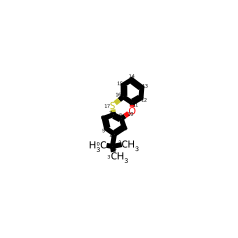 CC(C)(C)c1ccc2c(c1)Oc1ccccc1S2